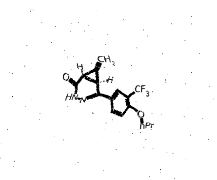 C=C1[C@@H]2C(=O)NN=C(c3ccc(OCCC)c(C(F)(F)F)c3)[C@H]12